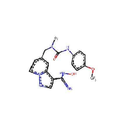 CC(C)N(Cc1ccn2ncc(C(=N)NO)c2c1)C(=O)Nc1ccc(OC(F)(F)F)cc1